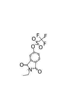 CC[N+]1C(=O)c2ccc(OS(=O)(=O)C(F)(F)F)cc2C1=O